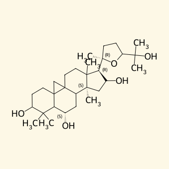 CC(C)(O)C1CC[C@](C)([C@H]2C(O)C[C@@]3(C)C4C[C@H](O)C5C(C)(C)C(O)CCC56CC46CCC23C)O1